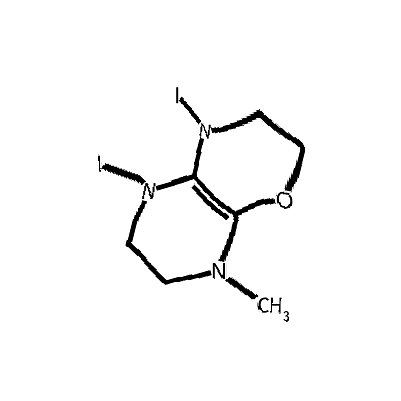 CN1CCN(I)C2=C1OCCN2I